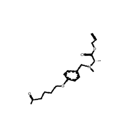 C=CCOC(=O)[C@H](C)N(C)Cc1ccc(OCCCCC(C)=O)cc1